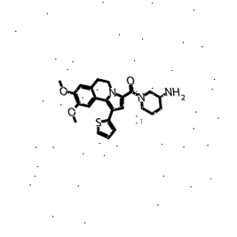 COc1cc2c(cc1OC)-c1c(-c3cccs3)cc(C(=O)N3CCC[C@H](N)C3)n1CC2